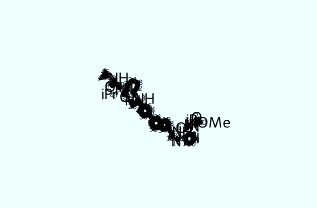 COC(=O)NN(C(=O)[C@@H]1CCCC[C@@H]1c1ncc(-c2ccc3cc(-c4ccc(-c5cnc([C@@H]6CCCCN6C(=O)N(CC(=O)NC6CC6)C(C)C)[nH]5)cc4)ccc3c2)[nH]1)C(C)C